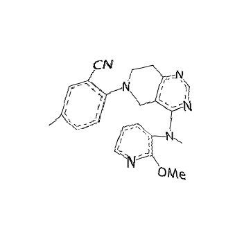 COc1ncccc1N(C)c1ncnc2c1CN(c1ccc(C)cc1C#N)CC2